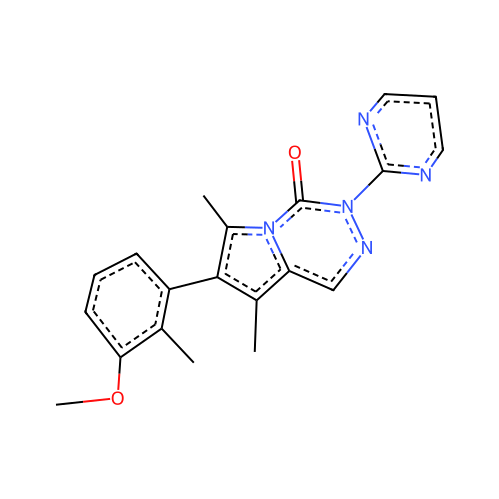 COc1cccc(-c2c(C)c3cnn(-c4ncccn4)c(=O)n3c2C)c1C